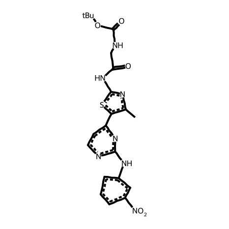 Cc1nc(NC(=O)CNC(=O)OC(C)(C)C)sc1-c1ccnc(Nc2cccc([N+](=O)[O-])c2)n1